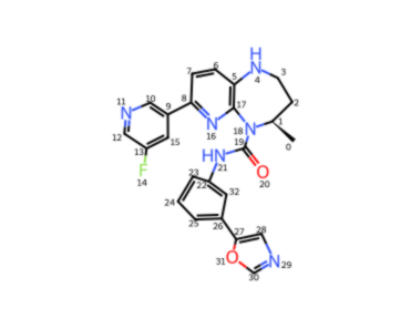 C[C@@H]1CCNc2ccc(-c3cncc(F)c3)nc2N1C(=O)Nc1cccc(-c2cnco2)c1